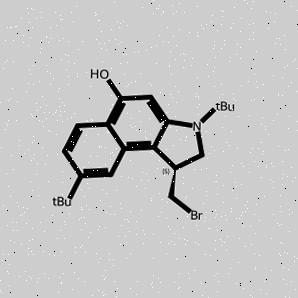 CC(C)(C)c1ccc2c(O)cc3c(c2c1)[C@H](CBr)CN3C(C)(C)C